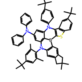 Cc1cc(C(C)(C)C)cc(C)c1N1c2cc3c(cc2B2c4sc5ccc(C(C)(C)C)cc5c4N(c4ccc(C(C)(C)C)cc4)c4cc(N(c5ccccc5)c5ccccc5)cc1c42)CC(C)(C)C3